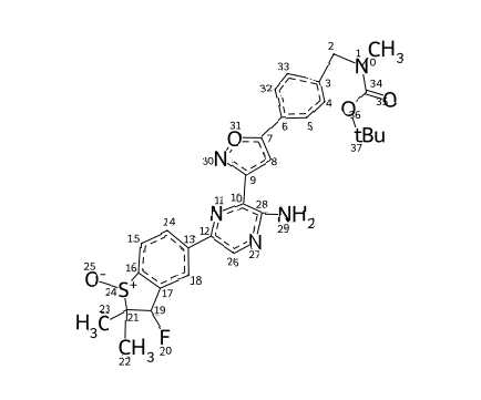 CN(Cc1ccc(-c2cc(-c3nc(-c4ccc5c(c4)C(F)C(C)(C)[S+]5[O-])cnc3N)no2)cc1)C(=O)OC(C)(C)C